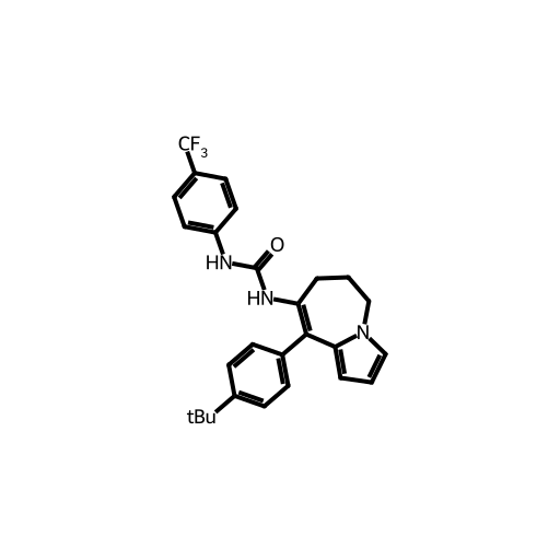 CC(C)(C)c1ccc(C2=C(NC(=O)Nc3ccc(C(F)(F)F)cc3)CCCn3cccc32)cc1